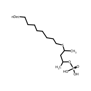 CCCCCCCCCCCCCCCCCCSC(C)CC(C)OP(=O)(O)O